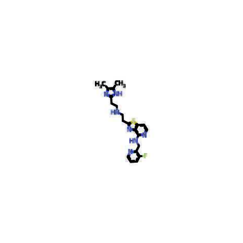 Cc1nc(CCNCCc2nc3c(NCc4ncccc4F)nccc3s2)[nH]c1C